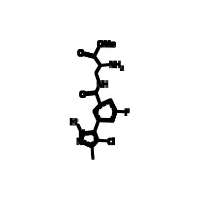 CCn1nc(C)c(Cl)c1-c1cc(F)cc(C(=O)NCC(N)C(=O)OC)c1